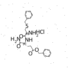 Cl.NC(=O)[C@@H](CCC(=O)OCc1ccccc1)NC(=O)[C@@H](N)CSCc1ccccc1